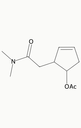 CC(=O)OC1CC=CC1CC(=O)N(C)C